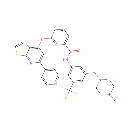 CN1CCN(Cc2cc(NC(=O)c3cccc(Oc4cc(-c5ccncc5)nc5sccc45)c3)cc(C(F)(F)F)c2)CC1